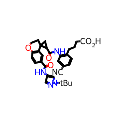 CC(C)(C)n1cc(NC(=O)c2ccc3c(c2)C2(CCO3)CC2C(=O)Nc2cc(C#N)ccc2CCCC(=O)O)cn1